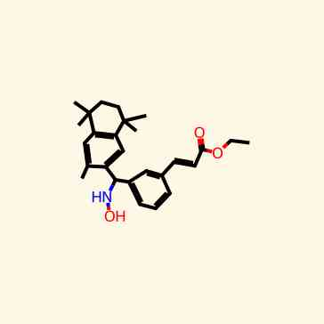 CCOC(=O)C=Cc1cccc(C(NO)c2cc3c(cc2C)C(C)(C)CCC3(C)C)c1